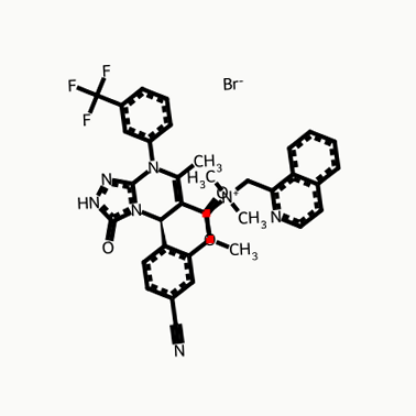 COC(=O)C1=C(C)N(c2cccc(C(F)(F)F)c2)c2n[nH]c(=O)n2[C@@H]1c1ccc(C#N)cc1CC[N+](C)(C)Cc1nccc2ccccc12.[Br-]